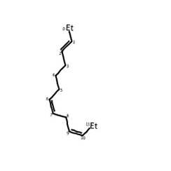 [CH2]C/C=C/CCC/C=C\C/C=C\CC